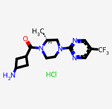 C[C@@H]1CN(c2ncc(C(F)(F)F)cn2)CCN1C(=O)C1CC(N)C1.Cl